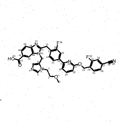 COCCn1cncc1Cn1c(Cc2ccc(-c3cccc(OCc4ccc(C#N)cc4F)n3)cc2F)nc2ccc(C(=O)O)cc21